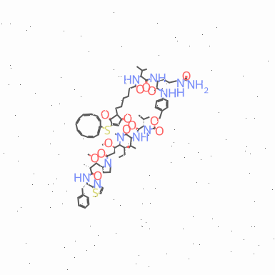 CC[C@H](C)[C@@H]([C@@H](CC(=O)N1CCC[C@H]1[C@H](OC)[C@@H](C)C(=O)N[C@@H](Cc1ccccc1)c1nccs1)OC)N(C)C(=O)[C@@H](NC(=O)[C@H](C(C)C)N(C)C(=O)OCc1ccc(NC(=O)[C@H](CCCNC(N)=O)NC(=O)[C@@H](NC(=O)CCCCCC2C(=O)C=C(SC3=C/C=C\C=C/C=C\C=C/C=C\3)C2=O)C(C)C)cc1)C(C)C